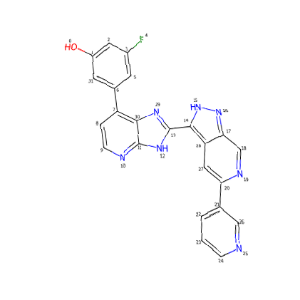 Oc1cc(F)cc(-c2ccnc3[nH]c(-c4[nH]nc5cnc(-c6cccnc6)cc45)nc23)c1